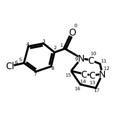 O=C(c1ccc(Cl)cc1)N1CCN2CCC1CC2